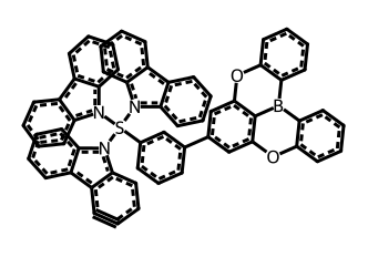 c1ccc2c(c#1)c1ccccc1n2S(c1cccc(-c2cc3c4c(c2)Oc2ccccc2B4c2ccccc2O3)c1)(n1c2ccccc2c2ccccc21)n1c2ccccc2c2ccccc21